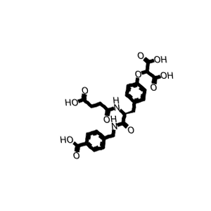 O=C(O)CCC(=O)N[C@@H](Cc1ccc(OC(C(=O)O)C(=O)O)cc1)C(=O)NCc1ccc(C(=O)O)cc1